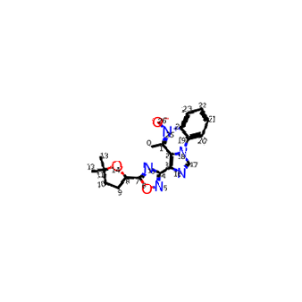 Cc1c2c(-c3noc(C4CCC(C)(C)O4)n3)ncn2c2ccccc2[n+]1[O-]